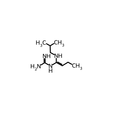 CC/C=C(\NCC(C)C)NC(=N)N